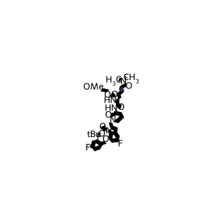 COCCOC(=O)N[C@@H](CC/C=C/C(=O)N(C)C)C(=O)Nc1cccn(Cc2cc3cc(F)cc(OCc4ccc(F)cc4F)c3n2C(=O)OC(C)(C)C)c1=O